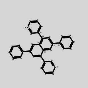 c1ccc(-c2cc(-c3cccnc3)c3cc(-c4ccccc4)cc(-c4cccnc4)c3c2)cc1